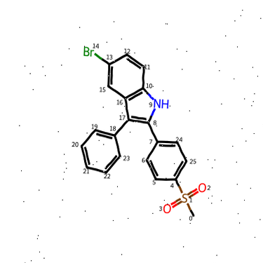 CS(=O)(=O)c1ccc(-c2[nH]c3ccc(Br)cc3c2-c2ccccc2)cc1